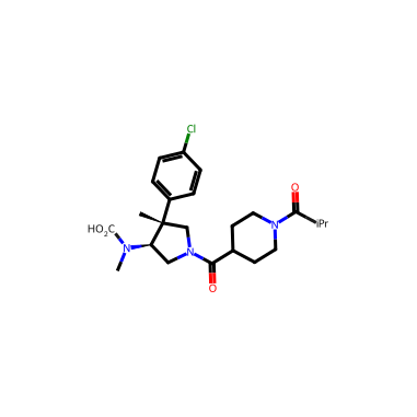 CC(C)C(=O)N1CCC(C(=O)N2C[C@@H](N(C)C(=O)O)[C@](C)(c3ccc(Cl)cc3)C2)CC1